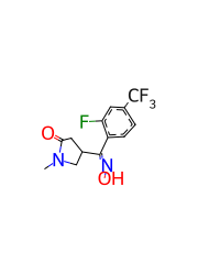 CN1CC(C(=NO)c2ccc(C(F)(F)F)cc2F)CC1=O